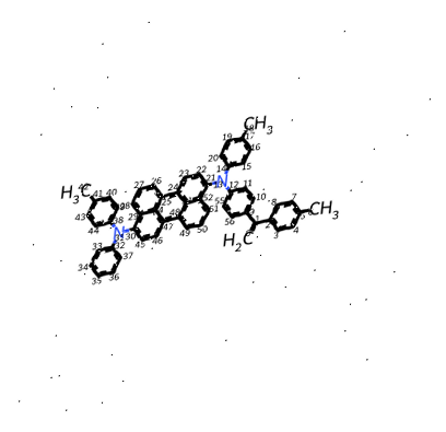 C=C(c1ccc(C)cc1)c1ccc(N(c2ccc(C)cc2)c2ccc3c4cccc5c(N(c6ccccc6)c6ccc(C)cc6)ccc(c6cccc2c63)c54)cc1